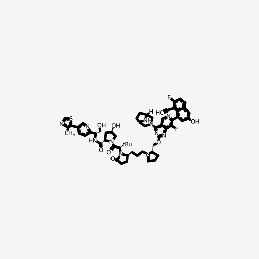 C#Cc1c(F)ccc2cc(O)cc(-c3ncc4c(N5CC6CC[C@H](C5)N6)nc(OC[C@@H]5CCCN5CCC[C@H]5CCC(=O)N5[C@H](C(=O)N5C[C@H](O)C[C@H]5C(=O)N[C@@H](CO)c5ccc(-c6scnc6C)cn5)C(C)(C)C)nc4c3F)c12